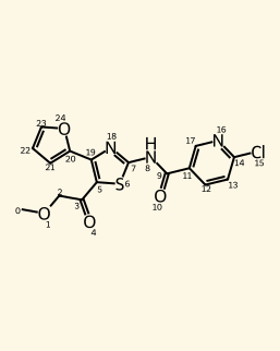 COCC(=O)c1sc(NC(=O)c2ccc(Cl)nc2)nc1-c1ccco1